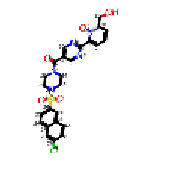 O=C(c1cnc(-c2cccc(CO)[n+]2[O-])nc1)N1CCN(S(=O)(=O)c2ccc3cc(Cl)ccc3c2)CC1